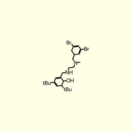 CN(CCNCC1=CC(C(C)(C)C)=CC(C(C)(C)C)C1O)CC1C=C(Br)C=C(Br)C1